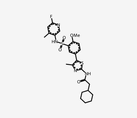 COc1ccc(-c2sc(NC(=O)CC3CCCCC3)nc2C)cc1S(=O)(=O)Nc1cnc(F)cc1C